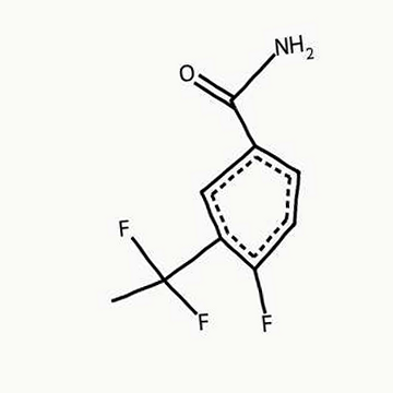 CC(F)(F)c1cc(C(N)=O)ccc1F